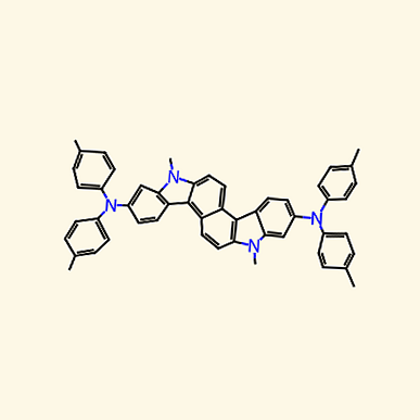 Cc1ccc(N(c2ccc(C)cc2)c2ccc3c4c5ccc6c(c5ccc4n(C)c3c2)c2ccc(N(c3ccc(C)cc3)c3ccc(C)cc3)cc2n6C)cc1